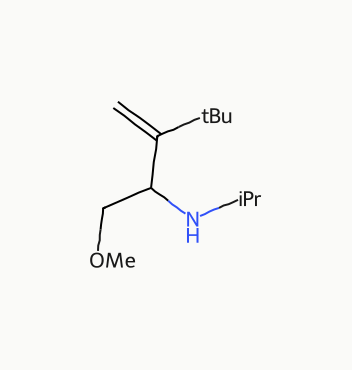 C=C(C(COC)NC(C)C)C(C)(C)C